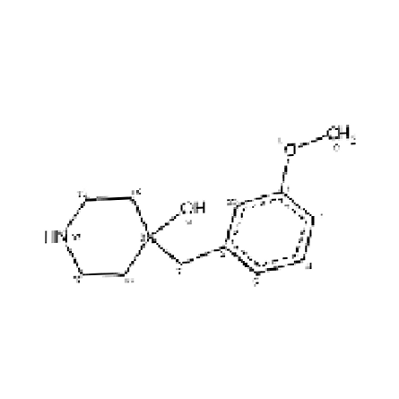 COc1cccc(CC2(O)CCNCC2)c1